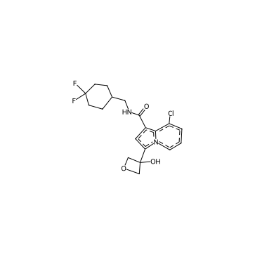 O=C(NCC1CCC(F)(F)CC1)c1cc(C2(O)COC2)n2cccc(Cl)c12